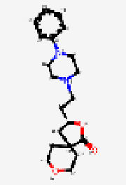 O=C1O[C@H](CCN2CCN(c3ccccc3)CC2)CC12CCOCC2